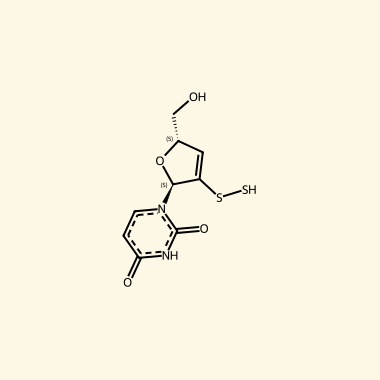 O=c1ccn([C@H]2O[C@H](CO)C=C2SS)c(=O)[nH]1